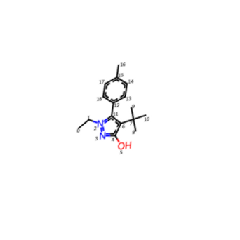 CCn1nc(O)c(C(C)(C)C)c1-c1ccc(C)cc1